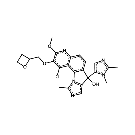 COc1nc2ccc3c(c2c(Cl)c1OCC1CCO1)-n1c(cnc1C)C3(O)c1cnc(C)n1C